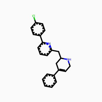 Clc1ccc(-c2cccc(CC3CC(c4ccccc4)=CCN3)n2)cc1